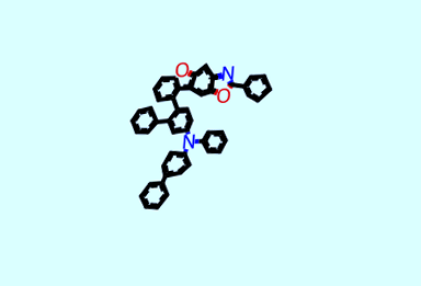 c1ccc(-c2ccc(N(c3ccccc3)c3ccc(-c4cccc5oc6cc7nc(-c8ccccc8)oc7cc6c45)c(-c4ccccc4)c3)cc2)cc1